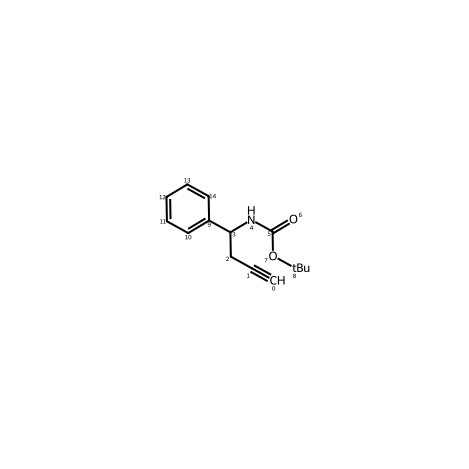 C#CCC(NC(=O)OC(C)(C)C)c1ccccc1